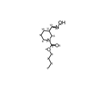 CCCCOC(=O)N1CCCC(C=NO)C1